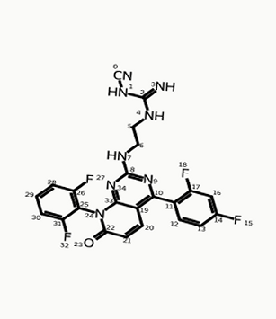 N#CNC(=N)NCCNc1nc(-c2ccc(F)cc2F)c2ccc(=O)n(-c3c(F)cccc3F)c2n1